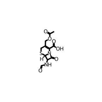 CC(=O)OCC1=C(C(=O)O)N2C(=O)C(NC=O)[C@@H]2SC1